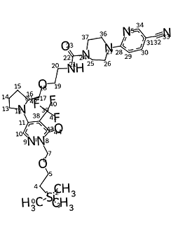 C[Si](C)(C)CCOCn1ncc(N2CCC[C@H]2COCCNC(=O)N2CCN(c3ccc(C#N)cn3)CC2)c(C(F)(F)F)c1=O